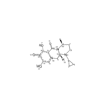 C[C@H]1CCN(C2CC2)[C@@H]2Cn3cc(O)c(=O)c(O)c3C(=O)N12